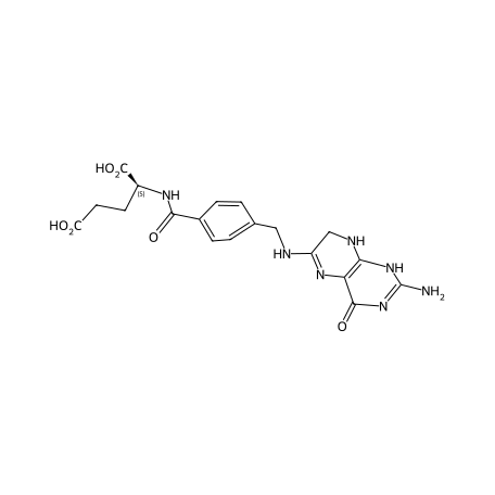 Nc1nc(=O)c2c([nH]1)NCC(NCc1ccc(C(=O)N[C@@H](CCC(=O)O)C(=O)O)cc1)=N2